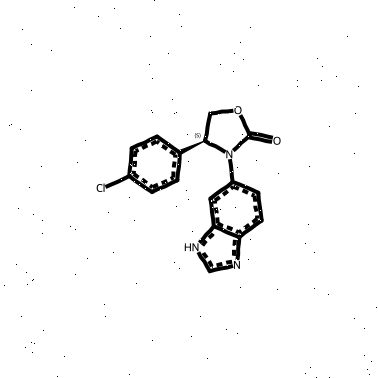 O=C1OC[C@H](c2ccc(Cl)cc2)N1c1ccc2nc[nH]c2c1